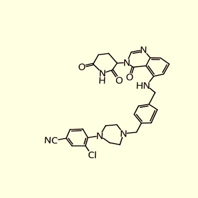 N#Cc1ccc(N2CCN(Cc3ccc(CNc4cccc5ncn(C6CCC(=O)NC6=O)c(=O)c45)cc3)CC2)c(Cl)c1